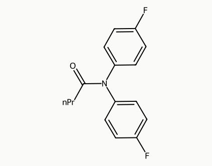 CCCC(=O)N(c1ccc(F)cc1)c1ccc(F)cc1